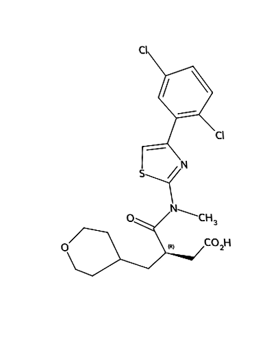 CN(C(=O)[C@@H](CC(=O)O)CC1CCOCC1)c1nc(-c2cc(Cl)ccc2Cl)cs1